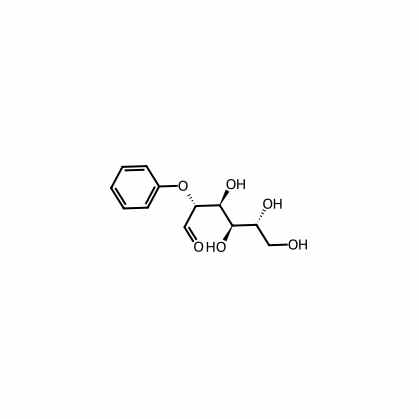 O=C[C@H](Oc1ccccc1)[C@@H](O)[C@H](O)[C@H](O)CO